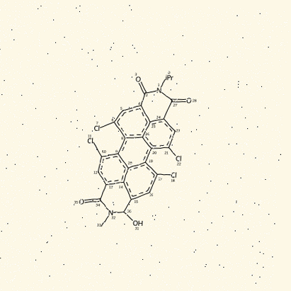 CC(C)N1C(=O)c2cc(Cl)c3c4c(Cl)cc5c6c(cc(Cl)c(c7c(Cl)cc(c2c37)C1=O)c64)C(O)N(C)C5=O